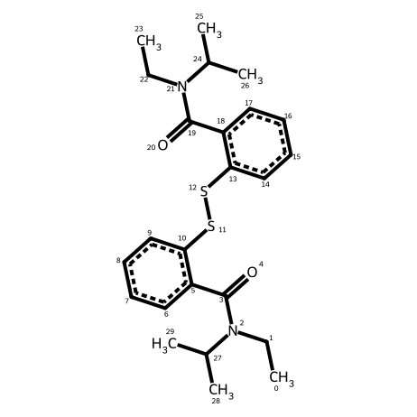 CCN(C(=O)c1ccccc1SSc1ccccc1C(=O)N(CC)C(C)C)C(C)C